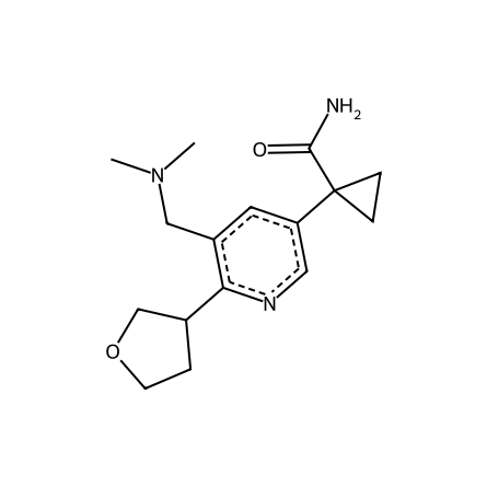 CN(C)Cc1cc(C2(C(N)=O)CC2)cnc1C1CCOC1